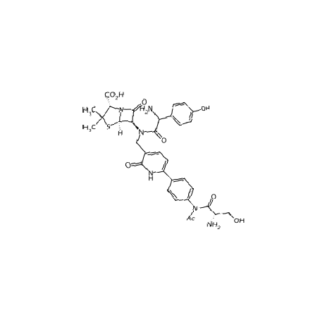 CC(=O)N(C(=O)[C@@H](N)CO)c1ccc(-c2ccc(CN(C(=O)C(N)c3ccc(O)cc3)[C@@H]3C(=O)N4[C@@H]3SC(C)(C)[C@@H]4C(=O)O)c(=O)[nH]2)cc1